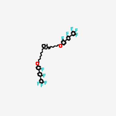 CC(CCCCCCCCOc1ccc(-c2ccc(-c3cc(F)c(F)c(F)c3)c(F)c2)c(F)c1)CCCCCCCCOc1ccc(-c2ccc(-c3cc(F)c(F)c(F)c3)c(F)c2)c(F)c1